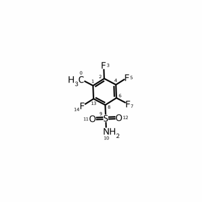 Cc1c(F)c(F)c(F)c(S(N)(=O)=O)c1F